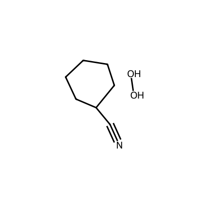 N#CC1CCCCC1.OO